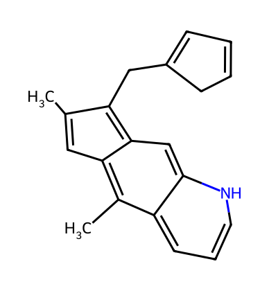 Cc1cc2c(C)c3ccc[nH]c3cc2c1CC1=CC=CC1